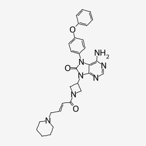 Nc1ncnc2c1n(-c1ccc(Oc3ccccc3)cc1)c(=O)n2C1CN(C(=O)C=CCN2CCCCC2)C1